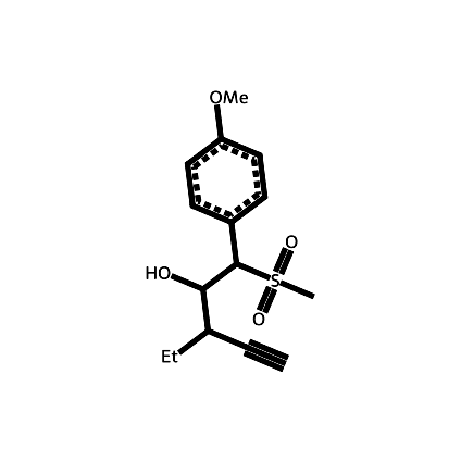 C#CC(CC)C(O)C(c1ccc(OC)cc1)S(C)(=O)=O